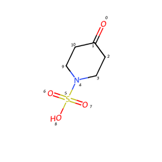 O=C1CCN(S(=O)(=O)O)CC1